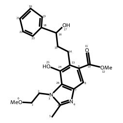 COCCn1c(C)nc2cc(C(=O)OC)c(CCC(O)c3ccccc3)c(O)c21